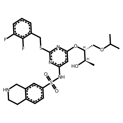 CC(C)OC[C@@H](Oc1cc(NS(=O)(=O)c2ccc3c(c2)CNCC3)nc(SCc2cccc(F)c2F)n1)[C@@H](C)O